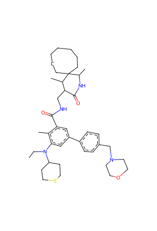 CCN(c1cc(-c2ccc(CN3CCOCC3)cc2)cc(C(=O)NCC2C(=O)NC(C)C3(CCCCCCC3)C2C)c1C)C1CCSCC1